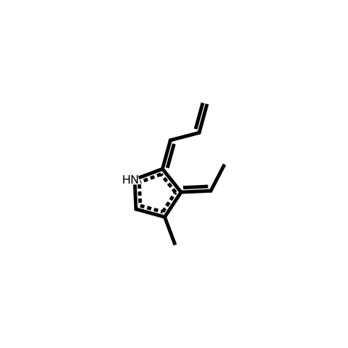 C=C/C=c1/[nH]cc(C)/c1=C/C